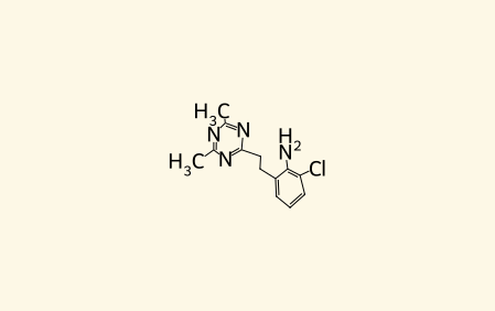 Cc1nc(C)nc(CCc2cccc(Cl)c2N)n1